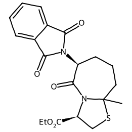 CCOC(=O)[C@@H]1CSC2(C)CCC[C@H](N3C(=O)c4ccccc4C3=O)C(=O)N12